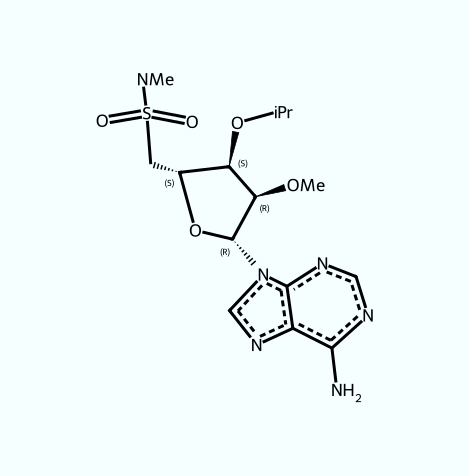 CNS(=O)(=O)C[C@H]1O[C@@H](n2cnc3c(N)ncnc32)[C@H](OC)[C@@H]1OC(C)C